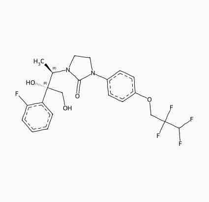 C[C@@H](N1CCN(c2ccc(OCC(F)(F)C(F)F)cc2)C1=O)[C@@](O)(CO)c1ccccc1F